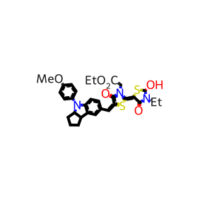 CCOC(=O)Cn1c(=O)/c(=C\c2ccc3c(c2)C2CCCC2N3c2ccc(OC)cc2)s/c1=C1/SC(O)N(CC)C1=O